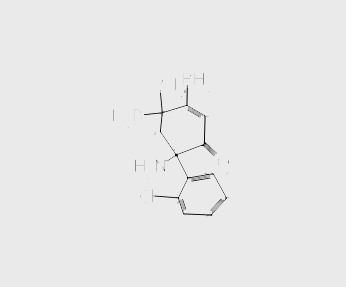 BC1=CC(=O)C(N)(c2ccccc2Cl)CC1(B)B